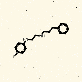 Fc1ccc(NCCNCCCc2ccccc2)cc1